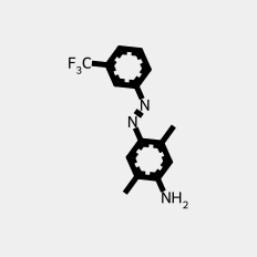 Cc1cc(/N=N/c2cccc(C(F)(F)F)c2)c(C)cc1N